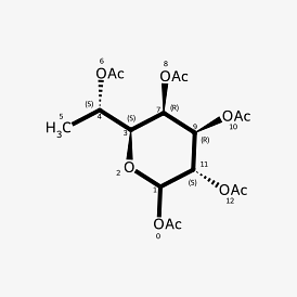 CC(=O)OC1O[C@@H]([C@H](C)OC(C)=O)[C@@H](OC(C)=O)[C@@H](OC(C)=O)[C@@H]1OC(C)=O